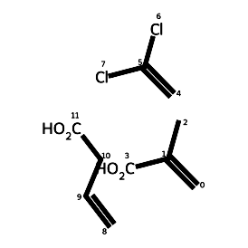 C=C(C)C(=O)O.C=C(Cl)Cl.C=CCC(=O)O